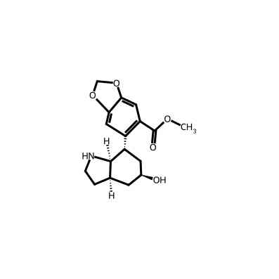 COC(=O)c1cc2c(cc1[C@@H]1C[C@@H](O)C[C@H]3CCN[C@H]31)OCO2